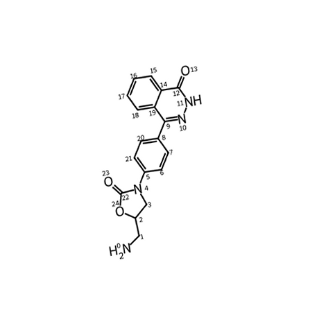 NCC1CN(c2ccc(-c3n[nH]c(=O)c4ccccc34)cc2)C(=O)O1